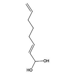 C=CCCCC=CC(O)O